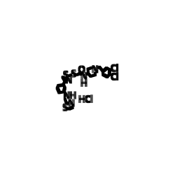 Cl.O=C(CSc1nc(-c2cccc(NCc3nccs3)c2)cs1)NC1CCN(Cc2ccc(Cl)c(Cl)c2)CC1